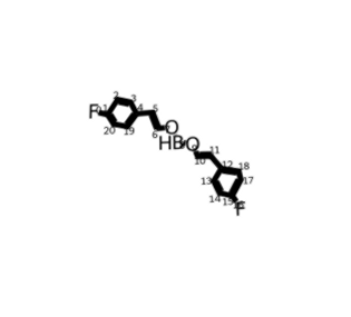 Fc1ccc(C=COBOC=Cc2ccc(F)cc2)cc1